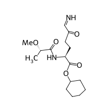 CO[C@@H](C)C(=O)N[C@@H](CCC(=O)C=N)C(=O)OC1CCCCC1